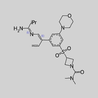 C=C/C(=C\N=C(\N)C(C)C)c1cc(N2CCOCC2)cc(S(=O)(=O)C2CN(C(=O)N(C)C)C2)c1